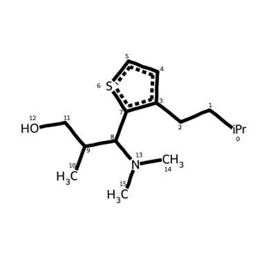 CC(C)CCc1ccsc1C(C(C)CO)N(C)C